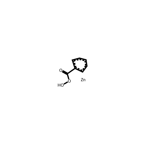 O=C(OO)c1ccccc1.[Zn]